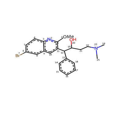 COc1nc2ccc(Br)cc2cc1C(c1ccccc1)C(O)CCN(C)C